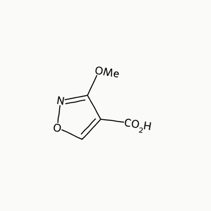 COc1nocc1C(=O)O